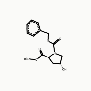 CCCCOC(=O)[C@@H]1C[C@@H](O)CN1C(=O)OCc1ccccc1